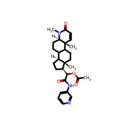 CC(=O)OC(C(=O)Nc1cccnc1)[C@H]1CC[C@H]2C3CC[C@H]4N(C)C(=O)C=C[C@]4(C)C3CC[C@]12C